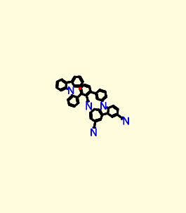 N#CC1=CC2=C(CC=C1)N(c1cccc(-c3cccc(-c4ccccc4-n4c5ccccc5c5ccccc54)c3C#N)c1)C1C=CC(C#N)=CC21